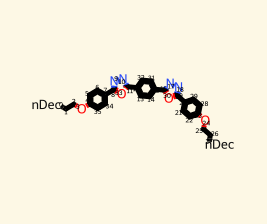 CCCCCCCCCCCCOc1ccc(-c2nnc(-c3ccc(-c4nnc(-c5ccc(OCCCCCCCCCCCC)cc5)o4)cc3)o2)cc1